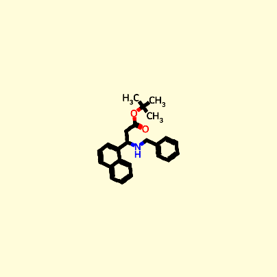 CC(C)(C)OC(=O)CC(NCc1ccccc1)c1cccc2ccccc12